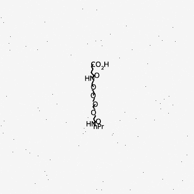 CCCNC(=O)CCOCCOCCOCCOCCNC(=O)CCCC(=O)O